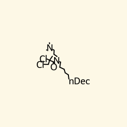 CCCCCCCCCCCCCCCCN(CCCN(C)C)C(=O)C(C)(Cl)CCl